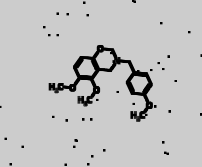 COc1ccc(CN2COc3ccc(OC)c(OC)c3C2)cc1